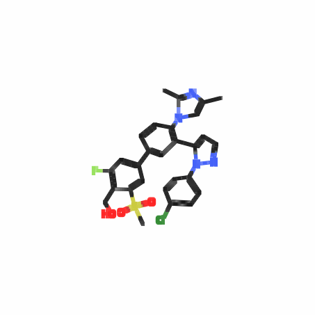 Cc1cn(-c2ccc(-c3cc(F)c(CO)c(S(C)(=O)=O)c3)cc2-c2ccnn2-c2ccc(Cl)cc2)c(C)n1